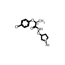 CC(=O)N1CCC(ONC(=O)[C@H](C)Oc2ccc(Cl)cc2)C1